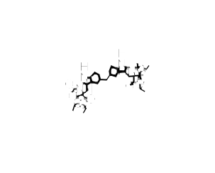 CCOC(=O)C(Cc1c[nH]c2ccc(Cc3ccc4[nH]cc(CC(NC(C)=O)(C(=O)OCC)C(=O)OCC)c4c3)cc12)(NC(C)=O)C(=O)OCC